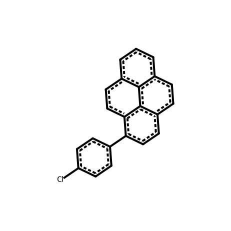 Clc1ccc(-c2ccc3ccc4cccc5ccc2c3c45)cc1